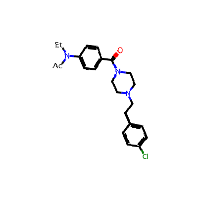 CCN(C(C)=O)c1ccc(C(=O)N2CCN(CCc3ccc(Cl)cc3)CC2)cc1